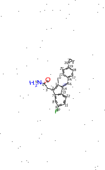 CC1=C(CC(N)=O)c2cc(F)ccc2/C1=C/c1ccc(C(C)C)cc1